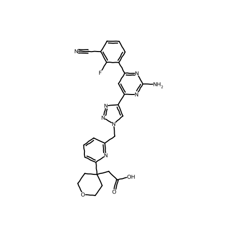 N#Cc1cccc(-c2cc(-c3cn(Cc4cccc(C5(CC(=O)O)CCOCC5)n4)nn3)nc(N)n2)c1F